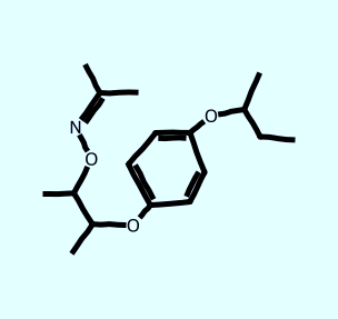 CCC(C)Oc1ccc(OC(C)C(C)ON=C(C)C)cc1